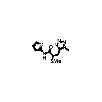 CSC(Cc1nnnn1C)C(=O)Nc1ccco1